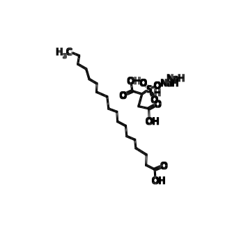 CCCCCCCCCCCCCCCCCC(=O)O.O=C(O)CC(C(=O)O)S(=O)(=O)O.[NaH].[NaH]